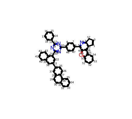 C1=Cc2c(nc(-c3ccc(-c4nc(-c5ccccc5)nc(-c5cc(-c6ccc7c(ccc8ccccc87)c6)cc6ccccc56)n4)cc3)c3oc4ccccc4c23)C1